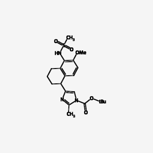 COc1ccc2c(c1NS(C)(=O)=O)CCCC2c1cn(C(=O)OC(C)(C)C)c(C)n1